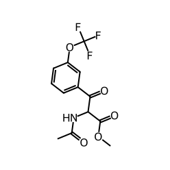 COC(=O)C(NC(C)=O)C(=O)c1cccc(OC(F)(F)F)c1